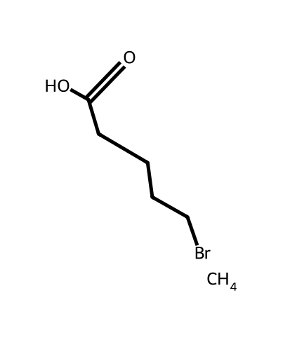 C.O=C(O)CCCCBr